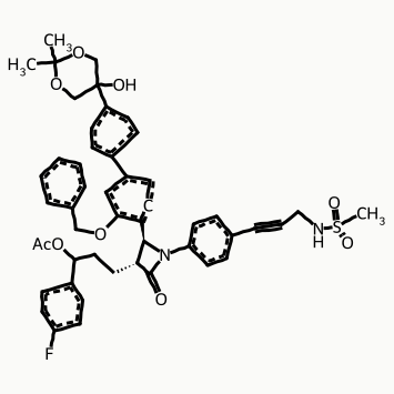 CC(=O)OC(CC[C@H]1C(=O)N(c2ccc(C#CCNS(C)(=O)=O)cc2)[C@@H]1c1ccc(-c2ccc(C3(O)COC(C)(C)OC3)cc2)cc1OCc1ccccc1)c1ccc(F)cc1